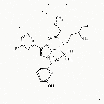 COCC(=O)N(CC[C@H](N)CF)[C@@H](c1nc(-c2cccc(F)c2)cn1Cc1cccc(O)n1)C(C)(C)C